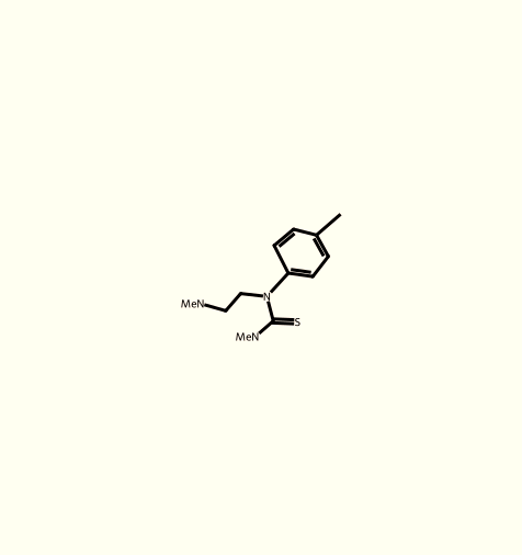 CNCCN(C(=S)NC)c1ccc(C)cc1